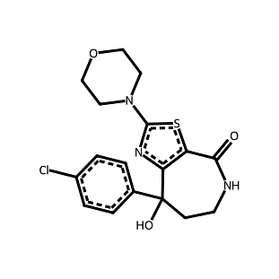 O=C1NCCC(O)(c2ccc(Cl)cc2)c2nc(N3CCOCC3)sc21